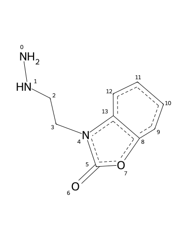 NNCCn1c(=O)oc2ccccc21